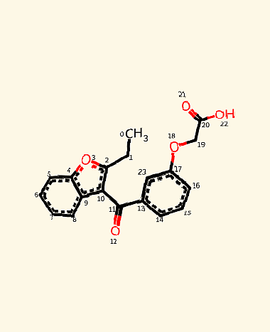 CCc1oc2ccccc2c1C(=O)c1cccc(OCC(=O)O)c1